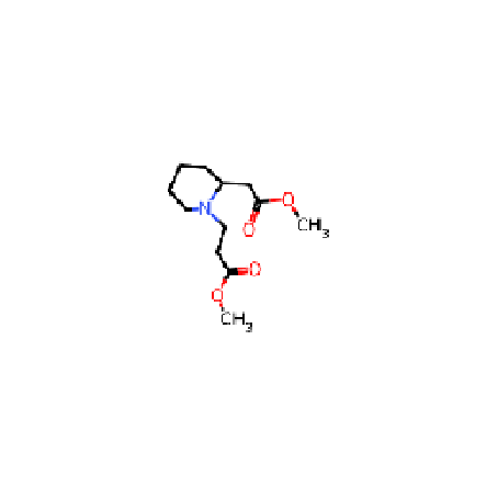 COC(=O)CCN1CCCCC1CC(=O)OC